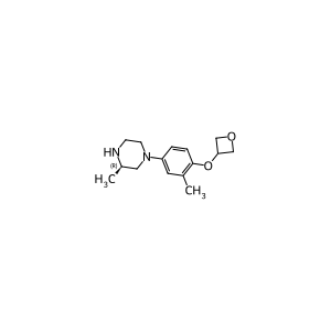 Cc1cc(N2CCN[C@H](C)C2)ccc1OC1COC1